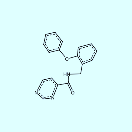 O=C(NCc1ccccc1Oc1ccccc1)c1ccncn1